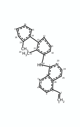 C=Cc1ccnc2c(Nc3cccc(-c4ccccc4C)c3C)nccc12